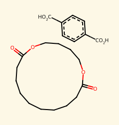 O=C(O)c1ccc(C(=O)O)cc1.O=C1CCCCCCCCC(=O)OCCCCO1